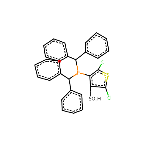 O=S(=O)(O)c1c(Cl)sc(Cl)c1P(C(c1ccccc1)c1ccccc1)C(c1ccccc1)c1ccccc1